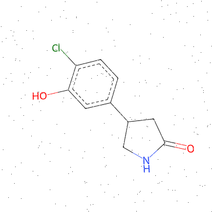 O=C1CC(c2ccc(Cl)c(O)c2)CN1